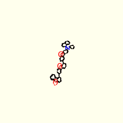 C1=CC2c3cc(-c4cccc5c4oc4ccc(-c6cccc7oc8ccccc8c67)cc45)ccc3OC2C=C1N(c1ccccc1)c1cccc2ccccc12